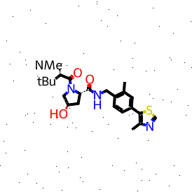 CN[C@H](C(=O)N1C[C@H](O)C[C@H]1C(=O)NCc1ccc(-c2scnc2C)cc1C)C(C)(C)C